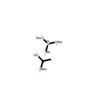 CCCC[SiH](OC)OC.CNC(C)O